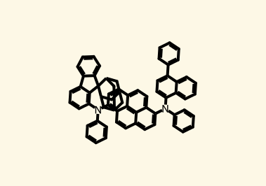 c1ccc(-c2ccc(N(c3ccccc3)c3ccc4ccc5c(N(c6ccccc6)c6cccc7c6C6(c8ccccc8-7)C7CC8CC(C7)CC6C8)ccc6ccc3c4c65)c3ccccc23)cc1